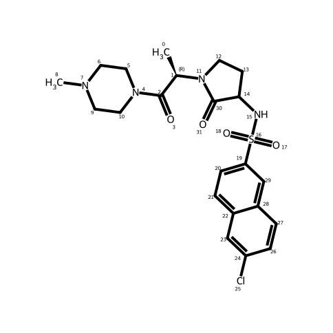 C[C@H](C(=O)N1CCN(C)CC1)N1CCC(NS(=O)(=O)c2ccc3cc(Cl)ccc3c2)C1=O